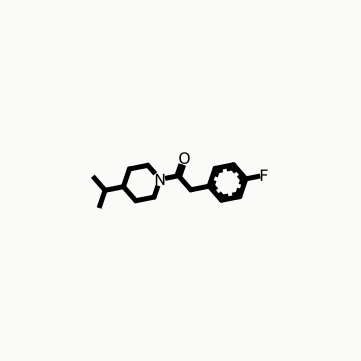 CC(C)C1CCN(C(=O)Cc2ccc(F)cc2)CC1